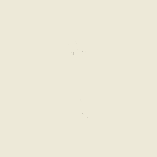 C[C@H]1CN(c2ccc(-c3ccc4c(c3)CN(c3ccn[nH]3)C4)c(F)c2)C(=O)O1